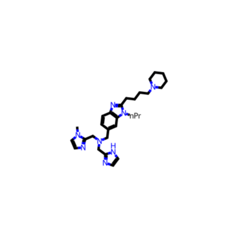 CCCn1c(CCCCN2CCCCC2)nc2ccc(CN(Cc3ncc[nH]3)Cc3nccn3C)cc21